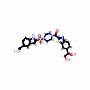 C#Cc1ccc2[nH]c(S(=O)(=O)N3CCN(C(=O)c4nc5c(s4)CC(C(O)CO)CC5)CC3)cc2c1